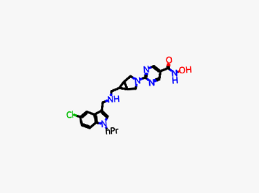 CCCn1cc(CNCC2C3CN(c4ncc(C(=O)NO)cn4)CC23)c2cc(Cl)ccc21